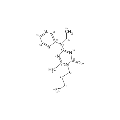 CCCCn1c(C)nc(N(CC)c2ccccc2)nc1=O